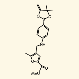 C=C1OB(c2ccc(NCc3cc(C(=O)OC)oc3C)cc2)OC1(C)C